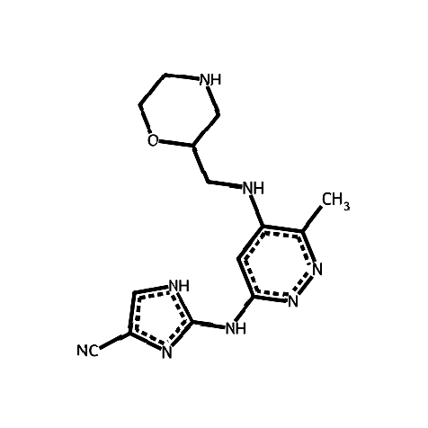 Cc1nnc(Nc2nc(C#N)c[nH]2)cc1NCC1CNCCO1